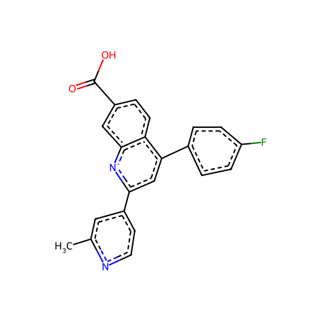 Cc1cc(-c2cc(-c3ccc(F)cc3)c3ccc(C(=O)O)cc3n2)ccn1